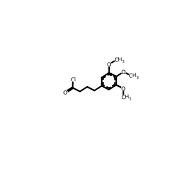 COc1cc(CCCC(=O)Cl)cc(OC)c1OC